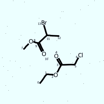 CCOC(=O)CCl.COC(=O)C(C)Br